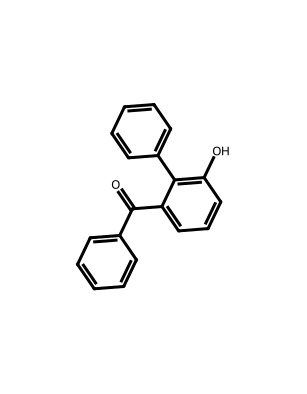 O=C(c1ccccc1)c1cccc(O)c1-c1ccccc1